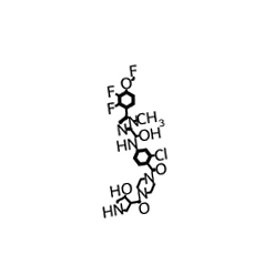 Cn1c(-c2ccc(OCF)c(F)c2F)cnc1C(O)Nc1ccc(C(=O)N2CCN(C(=O)C3CNCC3O)CC2)c(Cl)c1